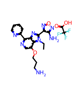 CCn1c(-c2nonc2N)nc2c(-c3ccccn3)ncc(OCCCN)c21.O=C(O)C(F)(F)F